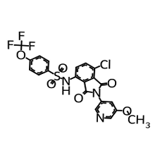 COc1cncc(N2C(=O)c3c(Cl)ccc(NS(=O)(=O)c4ccc(OC(F)(F)F)cc4)c3C2=O)c1